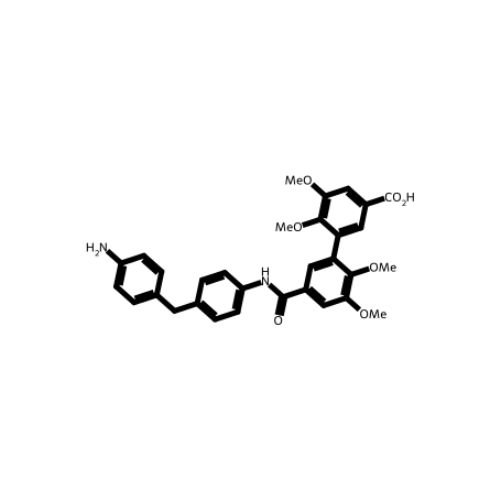 COc1cc(C(=O)O)cc(-c2cc(C(=O)Nc3ccc(Cc4ccc(N)cc4)cc3)cc(OC)c2OC)c1OC